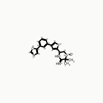 CC1(C)C(=N)NC(c2cc(-c3cccc(-c4cnco4)c3)cs2)C[S+]1[O-]